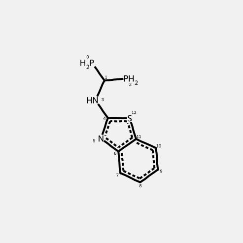 PC(P)Nc1nc2ccccc2s1